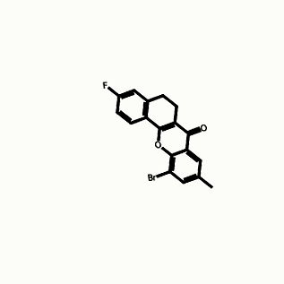 Cc1cc(Br)c2oc3c(c(=O)c2c1)CCc1cc(F)ccc1-3